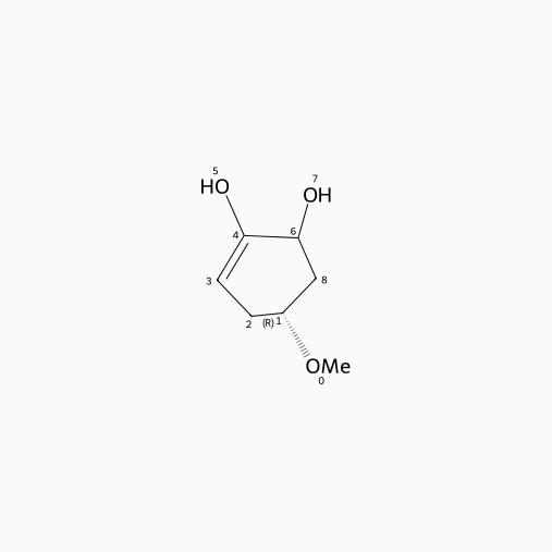 CO[C@@H]1CC=C(O)C(O)C1